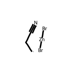 [Br][Zn][Br].[CH2]CC#N